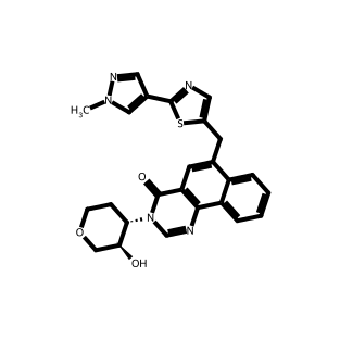 Cn1cc(-c2ncc(Cc3cc4c(=O)n([C@H]5CCOC[C@@H]5O)cnc4c4ccccc34)s2)cn1